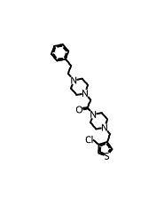 O=C(CN1CCN(CCc2ccccc2)CC1)N1CCN(Cc2cscc2Cl)CC1